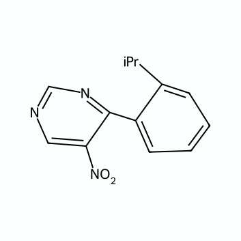 CC(C)c1ccccc1-c1ncncc1[N+](=O)[O-]